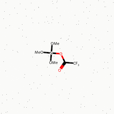 CO[Si](OC)(OC)OC(=O)C(F)(F)F